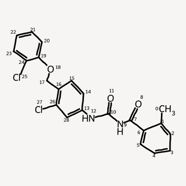 Cc1ccccc1C(=O)NC(=O)Nc1ccc(COc2ccccc2Cl)c(Cl)c1